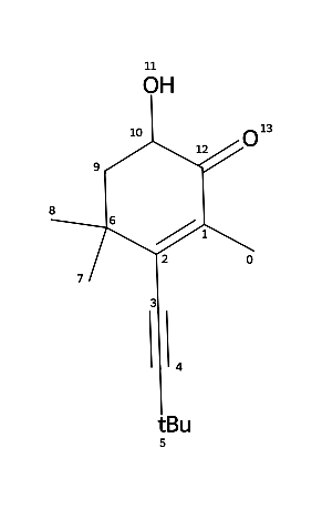 CC1=C(C#CC(C)(C)C)C(C)(C)CC(O)C1=O